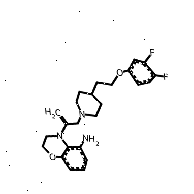 C=C(CN1CCC(CCOc2ccc(F)c(F)c2)CC1)N1CCOc2cccc(N)c21